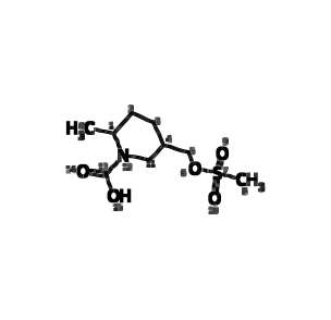 CC1CCC(COS(C)(=O)=O)CN1C(=O)O